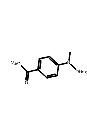 CCCCCCN(C)c1ccc(C(=O)OC)cc1